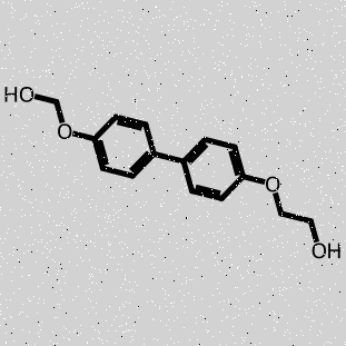 OCCOc1ccc(-c2ccc(OCO)cc2)cc1